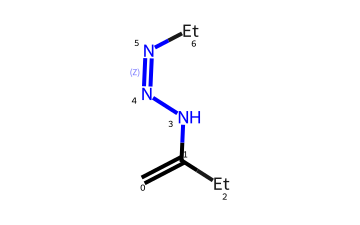 C=C(CC)N/N=N\CC